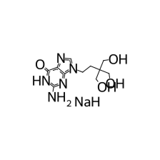 Nc1nc2c(ncn2CCC(CO)(CO)CO)c(=O)[nH]1.[NaH]